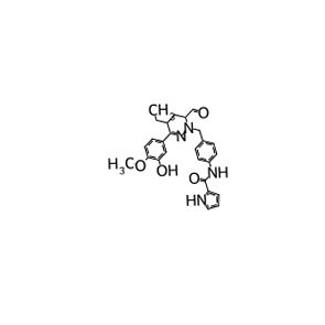 CCC1CC(C=O)N(Cc2ccc(NC(=O)c3ccc[nH]3)cc2)N=C1c1ccc(OC)c(O)c1